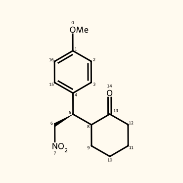 COc1ccc([C@H](C[N+](=O)[O-])C2CCCCC2=O)cc1